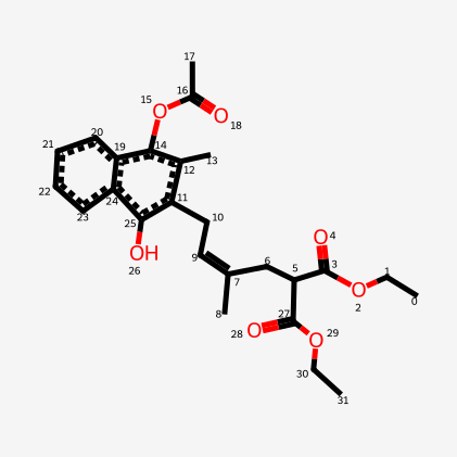 CCOC(=O)C(CC(C)=CCc1c(C)c(OC(C)=O)c2ccccc2c1O)C(=O)OCC